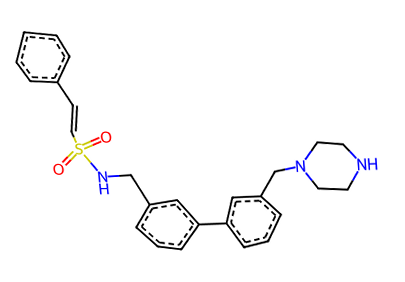 O=S(=O)(C=Cc1ccccc1)NCc1cccc(-c2cccc(CN3CCNCC3)c2)c1